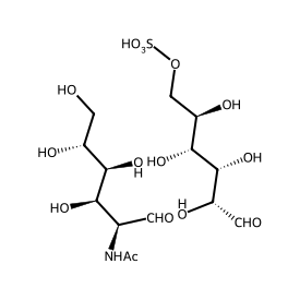 CC(=O)N[C@H](C=O)[C@@H](O)[C@H](O)[C@H](O)CO.O=C[C@H](O)[C@@H](O)[C@H](O)[C@H](O)COS(=O)(=O)O